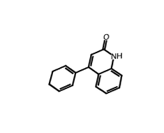 O=c1cc(C2=CCCC=C2)c2ccccc2[nH]1